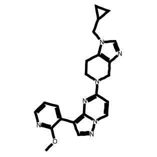 COc1ncccc1-c1cnn2ccc(N3CCc4c(ncn4CC4CC4)C3)nc12